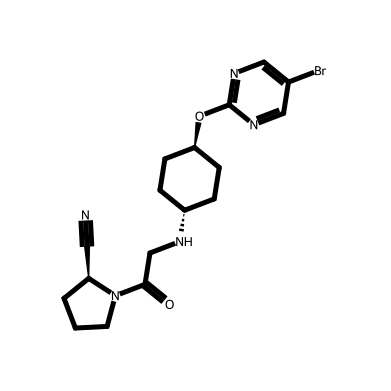 N#C[C@@H]1CCCN1C(=O)CN[C@H]1CC[C@H](Oc2ncc(Br)cn2)CC1